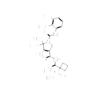 Cc1cccc(NC(=O)N2Cc3c(NC(=O)C4(S(C)(C)C)CCC4)n[nH]c3C2(C)C)c1C